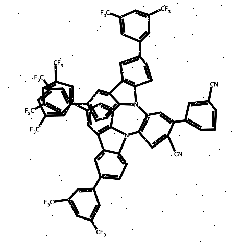 N#Cc1cccc(-c2cc(-n3c4ccc(-c5cc(C(F)(F)F)cc(C(F)(F)F)c5)cc4c4cc(-c5cc(C(F)(F)F)cc(C(F)(F)F)c5)ccc43)c(-n3c4ccc(-c5cc(C(F)(F)F)cc(C(F)(F)F)c5)cc4c4cc(-c5cc(C(F)(F)F)cc(C(F)(F)F)c5)ccc43)cc2C#N)c1